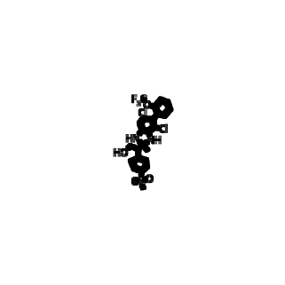 CC1(C(CO)c2ccc(S(C)(=O)=O)cc2)Nc2cc(Cl)c(-c3ccccc3OC(F)(F)F)c(Cl)c2N1